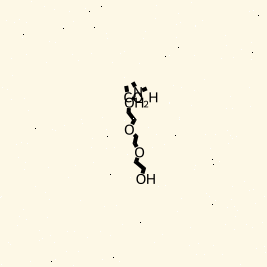 CC(=O)O.CN(C)C.OCCOCCOCCO